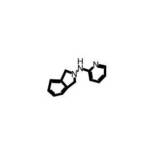 c1ccc(NN2Cc3ccccc3C2)nc1